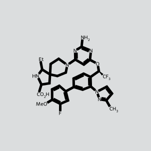 CCC1NC(C(=O)O)CC12CCN(c1cc(O[C@H](c3ccc(-c4ccc(OC)c(F)c4)cc3-n3ccc(C)n3)C(F)(F)F)nc(N)n1)CC2